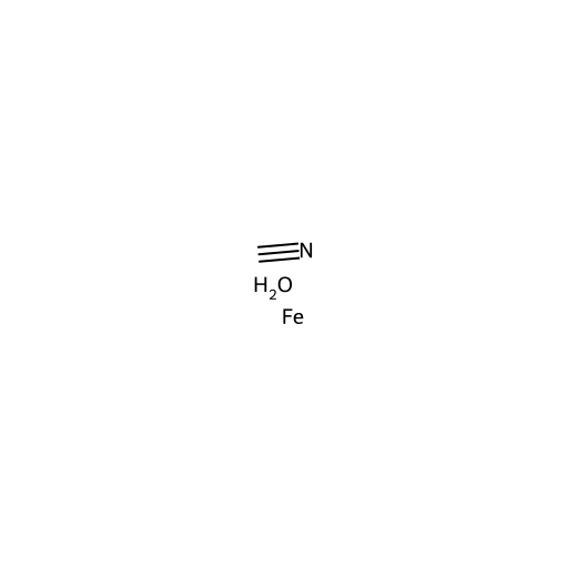 C#N.O.[Fe]